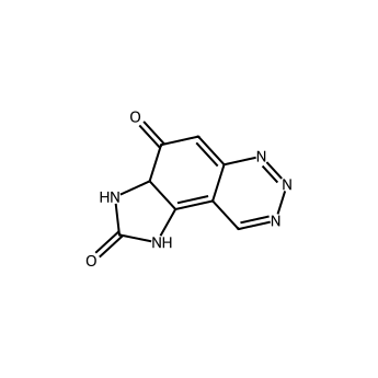 O=C1NC2=c3cnnnc3=CC(=O)C2N1